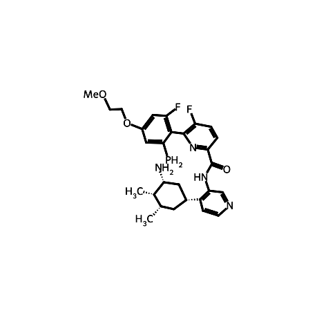 COCCOc1cc(F)c(-c2nc(C(=O)Nc3cnccc3[C@H]3C[C@@H](N)[C@@H](C)[C@@H](C)C3)ccc2F)c(P)c1